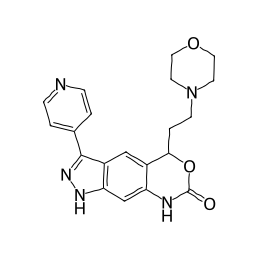 O=C1Nc2cc3[nH]nc(-c4ccncc4)c3cc2C(CCN2CCOCC2)O1